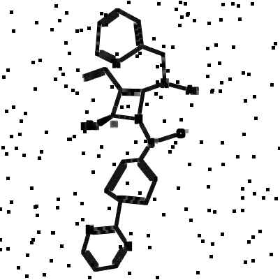 C=CC1=C(N(Cc2ccccn2)C(C)=O)N([S+]([O-])c2ccc(-c3ncccn3)cc2)[C@H]1CCCC